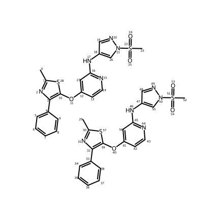 Cc1nc(-c2ccccc2)c(Oc2ccnc(Nc3cnn(S(C)(=O)=O)c3)c2)s1.Cc1nc(-c2ccccc2)c(Oc2ccnc(Nc3cnn(S(C)(=O)=O)c3)c2)s1